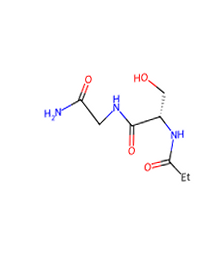 CCC(=O)N[C@@H](CO)C(=O)NCC(N)=O